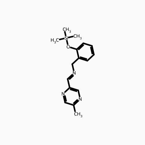 Cc1cnc(C=NCc2ccccc2O[Si](C)(C)C)cn1